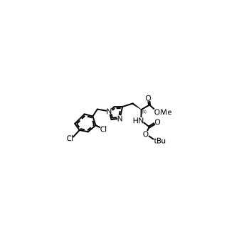 COC(=O)[C@H](Cc1cn(Cc2ccc(Cl)cc2Cl)cn1)NC(=O)OC(C)(C)C